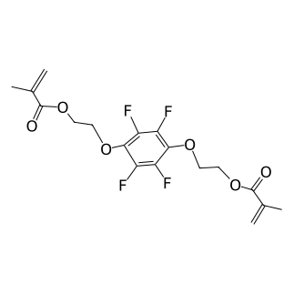 C=C(C)C(=O)OCCOc1c(F)c(F)c(OCCOC(=O)C(=C)C)c(F)c1F